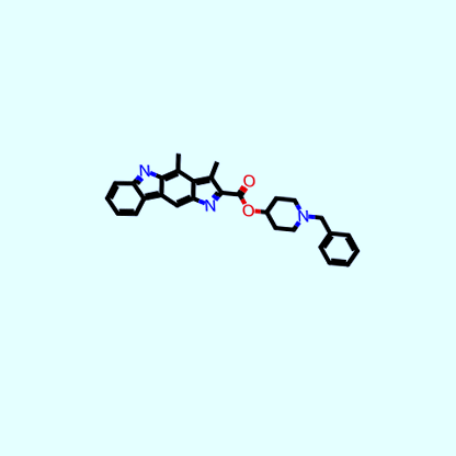 CC1=c2c(cc3c(c2C)N=c2ccccc2=3)N=C1C(=O)OC1CCN(Cc2ccccc2)CC1